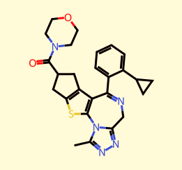 Cc1nnc2n1-c1sc3c(c1C(c1ccccc1C1CC1)=NC2)CC(C(=O)N1CCOCC1)C3